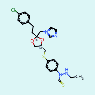 CCNN(C=S)c1ccc(SC[C@@H]2CO[C@](CCc3ccc(Cl)cc3)(Cn3ccnc3)O2)cc1